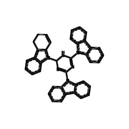 C1=Cc2c(c3ccccc3n2C2N=C(n3c4ccccc4c4ccccc43)N=C(n3c4ccccc4c4ccccc43)N2)CC1